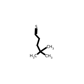 CC(C)(C)[CH]CC=S